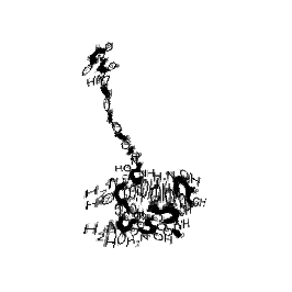 CC(=O)NC1C(OC2C(CO)OC(OC3C(CO)OC(OC4C(CO)OC(OC(C(O)CO)C(O)C(N)/C=N/OCCOCCOCCOCCONC(=O)CCN5C(=O)C=CC5=O)C(N)C4O)C(N)C3O)C(N)C2O)OC(CO)C(OC2OC(CO)C(C)C(O)C2N)C1O